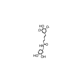 COc1cc(/C=C/C=C/C(=O)NCc2ccc(O)c(O)c2)cc(OC)c1O